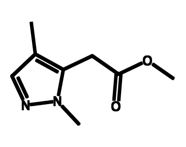 COC(=O)Cc1c(C)cnn1C